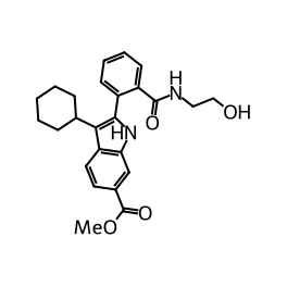 COC(=O)c1ccc2c(C3CCCCC3)c(-c3ccccc3C(=O)NCCO)[nH]c2c1